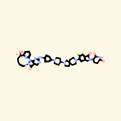 C[C@@]1(O)CC/C=C\Cn2c(=O)c3cnc(Nc4ccc(N5CCC(N6CCC7(CCN(c8cc9c(cc8F)C(=O)N(C8CCC(=O)NC8=O)C9)CC7)C6)CC5)cc4)nc3n2-c2cccc1n2